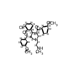 CNCCN1C[C@H](C(=O)c2cccc(OC)c2)C(c2cccc(Cl)c2Cl)[C@@H](C(=O)c2cccc(OC)c2)C1